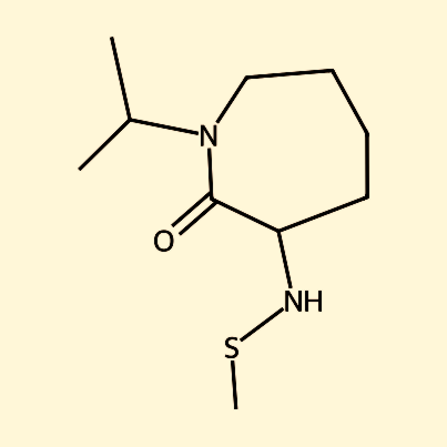 CSNC1CCCCN(C(C)C)C1=O